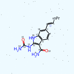 CCC/C=C/c1ccc2c(C(N)=O)c(NC(N)=O)[nH]c2c1